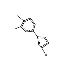 Cc1ccc(-c2ccc(Br)s2)cc1C